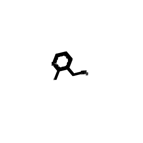 [CH2]c1ncccc1CN